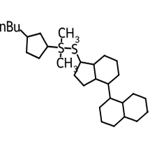 CCCCC1CCC(S(C)(C)SC2CCC3C2CCCC3C2CCCC3CCCCC32)C1